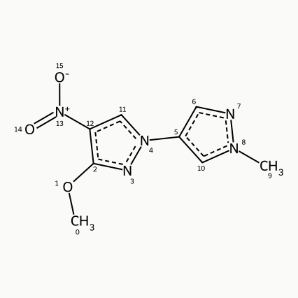 COc1nn(-c2cnn(C)c2)cc1[N+](=O)[O-]